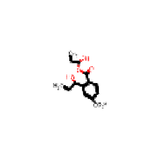 C=CC(O)OC(=O)c1ccc(C(=O)O)cc1C(O)C=C